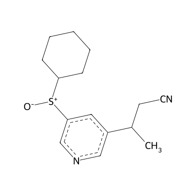 CC(CC#N)c1cncc([S+]([O-])C2CCCCC2)c1